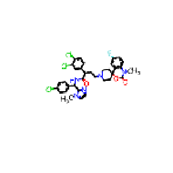 CN1C(=O)OC2(CCN(CCC(C(=O)NC(c3ccc(Cl)cc3)c3nccn3C)c3ccc(Cl)c(Cl)c3)CC2)c2cc(F)ccc21